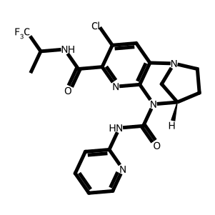 CC(NC(=O)c1nc2c(cc1Cl)N1CC[C@@H](C1)N2C(=O)Nc1ccccn1)C(F)(F)F